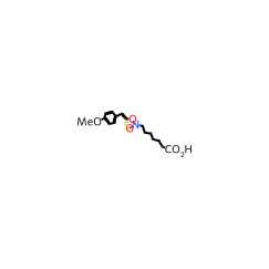 COc1ccc(/C=C2/ON(CCCCCCC(=O)O)OS2)cc1